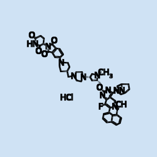 C#Cc1cccc2cccc(-c3ncc4c(N5CC6CCC(C5)N6)nc(OC[C@@H]5C[C@H](N6CCN(CC7CCN(c8ccc9c(c8)C(=O)N(C8CCC(=O)NC8=O)C9=O)CC7)CC6)CN5C)nc4c3F)c12.Cl